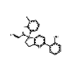 Cc1cccc([C@]2(C(=O)C=N)CCc3nc(-c4ccccc4O)ccc32)c1C